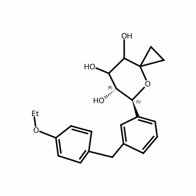 CCOc1ccc(Cc2cccc([C@@H]3OC4(CC4)C(O)C(O)[C@H]3O)c2)cc1